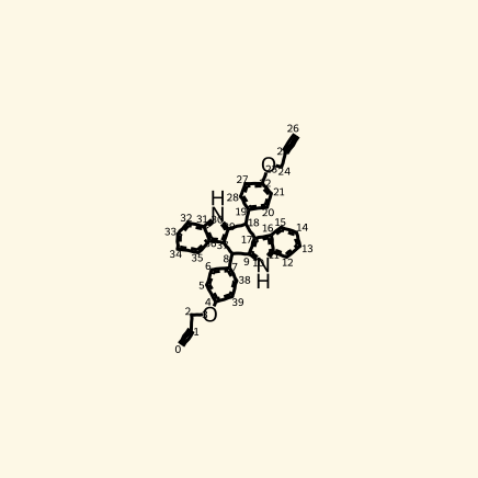 C#CCOc1ccc(C2c3[nH]c4ccccc4c3C(c3ccc(OCC#C)cc3)c3[nH]c4ccccc4c32)cc1